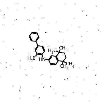 Bc1cc(-c2ccccc2)ccc1Nc1ccc2c(c1)C(C)(C)CCC2(C)C